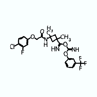 CC1(NC(=O)COc2ccc(Cl)c(F)c2)CC(C)(C(=N)OC(=N)Oc2cccc(C(F)(F)F)c2)C1